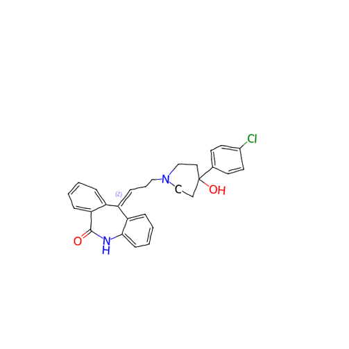 O=C1Nc2ccccc2/C(=C\CCN2CCC(O)(c3ccc(Cl)cc3)CC2)c2ccccc21